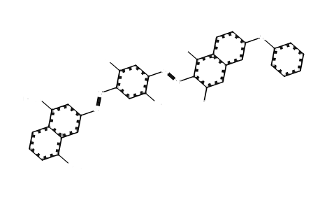 Cc1cc(N=Nc2c(S(=O)(=O)O)cc3cc(Nc4ccccc4)ccc3c2O)c(O)cc1N=Nc1cc(S(=O)(=O)O)c2cccc(S(=O)(=O)O)c2c1